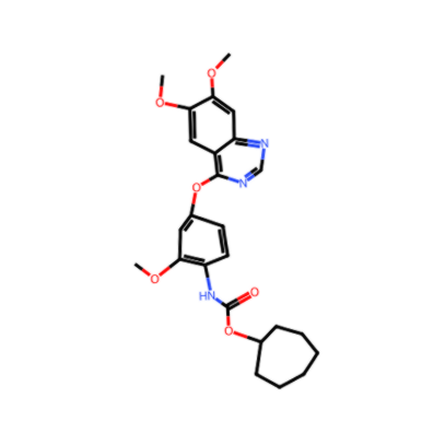 COc1cc(Oc2ncnc3cc(OC)c(OC)cc23)ccc1NC(=O)OC1CCCCCC1